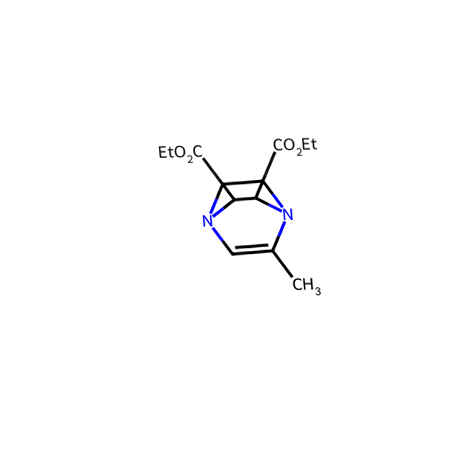 CCOC(=O)C1C(C(=O)OCC)N2CCN1C=C2C